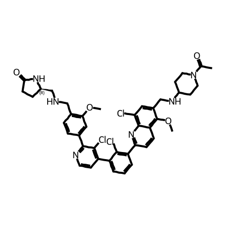 COc1cc(-c2nccc(-c3cccc(-c4ccc5c(OC)c(CNC6CCN(C(C)=O)CC6)cc(Cl)c5n4)c3Cl)c2Cl)ccc1CNC[C@H]1CCC(=O)N1